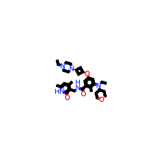 CCN1CCN([C@H]2C[C@H](Oc3cc(C(=O)NCc4c(C)cc(C)[nH]c4=O)c(C)c(N(CC)C4CCOCC4)c3)C2)CC1